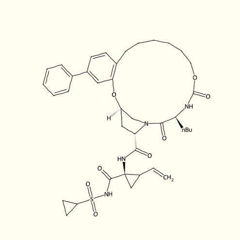 C=CC1C[C@]1(NC(=O)[C@@H]1C[C@@H]2CN1C(=O)[C@H](CCCC)NC(=O)OCCCCCCc1ccc(-c3ccccc3)cc1O2)C(=O)NS(=O)(=O)C1CC1